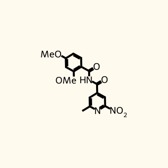 COc1ccc(C(=O)NC(=O)c2cc(C)nc([N+](=O)[O-])c2)c(OC)c1